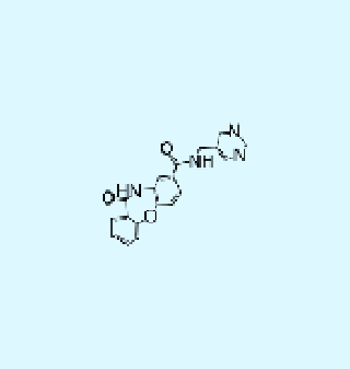 O=C(NCc1cncnc1)c1ccc2c(c1)NC(=O)c1ccccc1O2